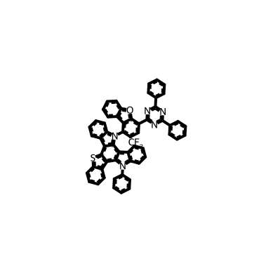 FC(F)(F)c1cc(-c2nc(-c3ccccc3)nc(-c3ccccc3)n2)c2oc3ccccc3c2c1-n1c2ccccc2c2c3sc4ccccc4c3c3c(c4ccccc4n3-c3ccccc3)c21